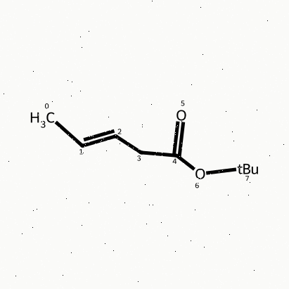 CC=CCC(=O)OC(C)(C)C